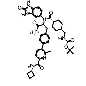 Cc1nc(C(=O)NC2CCC2)ccc1-c1ccc(C[C@@H](C(N)=O)N(c2ccc3[nH]c(=O)[nH]c3c2)C(=O)[C@H]2CC[C@H](CNC(=O)OC(C)(C)C)CC2)cc1